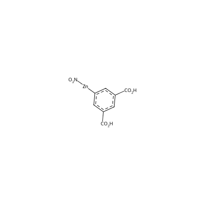 O=C(O)c1c[c]([Zn][N+](=O)[O-])cc(C(=O)O)c1